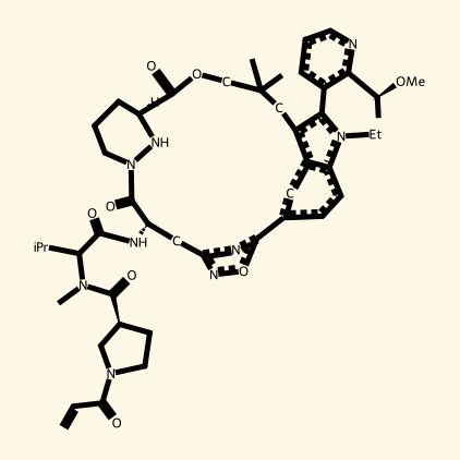 C=CC(=O)N1CC[C@H](C(=O)N(C)C(C(=O)N[C@H]2Cc3noc(n3)-c3ccc4c(c3)c(c(-c3cccnc3[C@H](C)OC)n4CC)CC(C)(C)COC(=O)[C@@H]3CCCN(N3)C2=O)C(C)C)C1